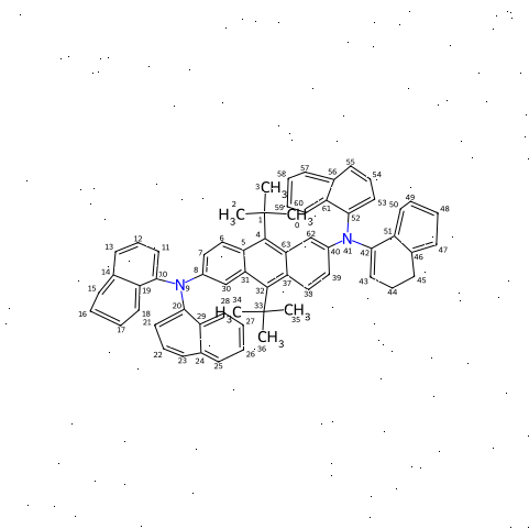 CC(C)(C)c1c2ccc(N(c3cccc4ccccc34)c3cccc4ccccc34)cc2c(C(C)(C)C)c2ccc(N(C3=CCCc4ccccc43)c3cccc4ccccc34)cc12